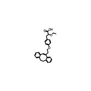 CCOC(Cc1ccc(OCCC2=Cc3ccccc3CCc3ccccc32)cc1)C(=O)O